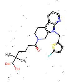 CC(C)(CCCC(=O)N1CCc2c(n(Cc3ccc(F)s3)c3ncccc23)C1)C(=O)O